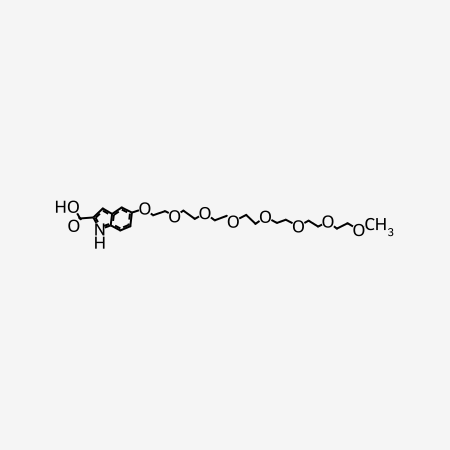 COCCOCCOCCOCCOCCOCCOCCOc1ccc2[nH]c(C(=O)O)cc2c1